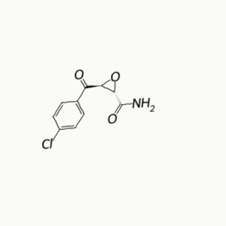 NC(=O)[C@H]1O[C@@H]1C(=O)c1ccc(Cl)cc1